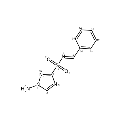 Nn1cnc(S(=O)(=O)N=Cc2ccccc2)n1